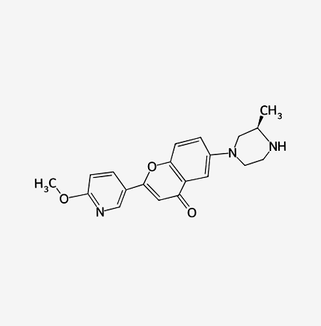 COc1ccc(-c2cc(=O)c3cc(N4CCN[C@H](C)C4)ccc3o2)cn1